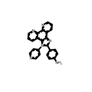 Nc1ccc(-c2nc3c4cccnc4c4ncccc4c3n2-c2ccncc2)cc1